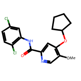 COc1cnc(C(=O)Nc2cc(Cl)ccc2Cl)cc1OC1CCCC1